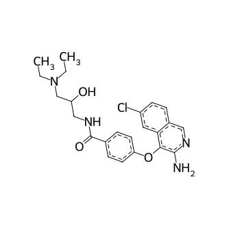 CCN(CC)CC(O)CNC(=O)c1ccc(Oc2c(N)ncc3ccc(Cl)cc23)cc1